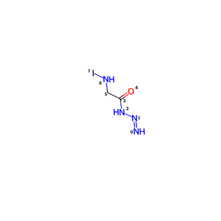 N=NNC(=O)CNI